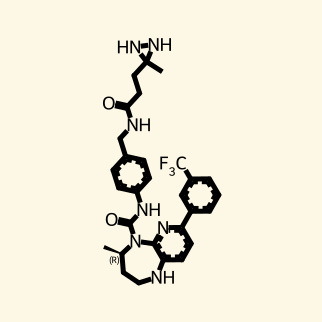 C[C@@H]1CCNc2ccc(-c3cccc(C(F)(F)F)c3)nc2N1C(=O)Nc1ccc(CNC(=O)CCC2(C)NN2)cc1